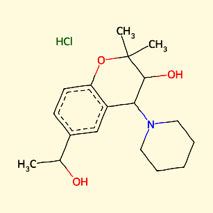 CC(O)c1ccc2c(c1)C(N1CCCCC1)C(O)C(C)(C)O2.Cl